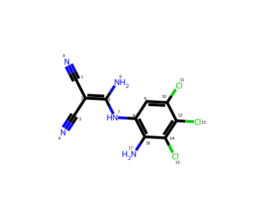 N#CC(C#N)=C(N)Nc1cc(Cl)c(Cl)c(Cl)c1N